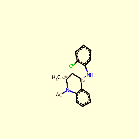 CC(=O)N1c2ccccc2[C@@H](Nc2ccccc2Cl)C[C@H]1C